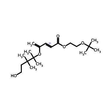 C=C(/C=C/C(=O)OCCOC(C)(C)C)OC(C)(C)C(C)(C)CCO